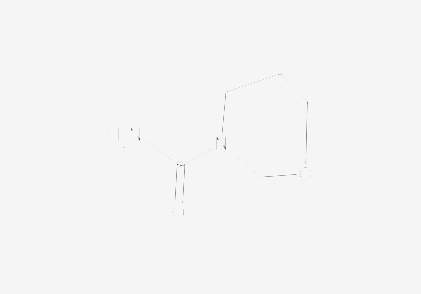 NC(=O)N1CC=COC1